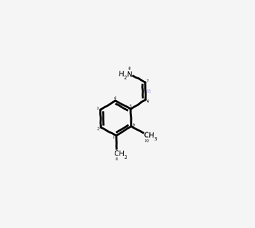 Cc1cccc(/C=C\N)c1C